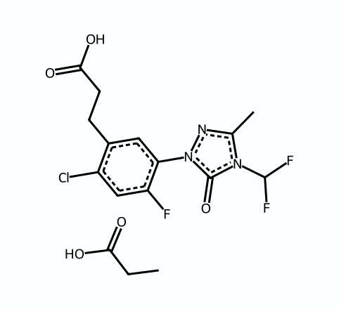 CCC(=O)O.Cc1nn(-c2cc(CCC(=O)O)c(Cl)cc2F)c(=O)n1C(F)F